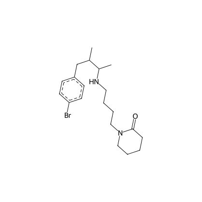 CC(Cc1ccc(Br)cc1)C(C)NCCCCN1CCCCC1=O